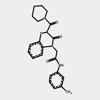 Cc1cccc(NC(=O)CN2C(=O)C(C(=O)N3CCCCC3)Sc3ccccc32)c1